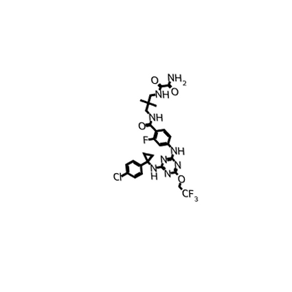 CC(C)(CNC(=O)C(N)=O)CNC(=O)c1ccc(Nc2nc(NC3(c4ccc(Cl)cc4)CC3)nc(OCC(F)(F)F)n2)cc1F